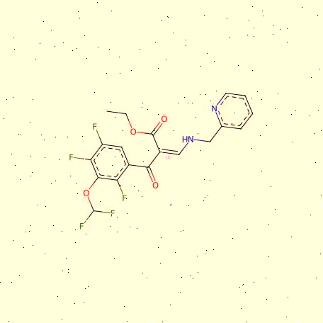 CCOC(=O)/C(=C\NCc1ccccn1)C(=O)c1cc(F)c(F)c(OC(F)F)c1F